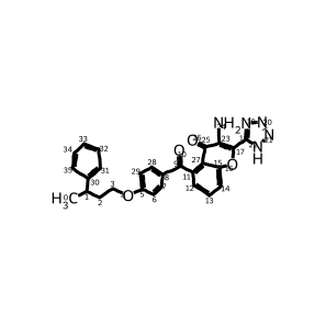 CC(CCOc1ccc(C(=O)c2cccc3oc(-c4nnn[nH]4)c(N)c(=O)c23)cc1)c1ccccc1